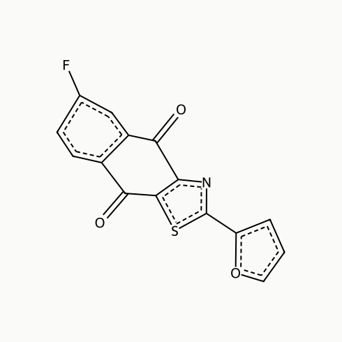 O=C1c2cc(F)ccc2C(=O)c2sc(-c3ccco3)nc21